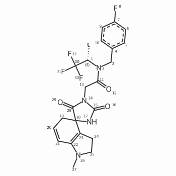 C[C@H](N(Cc1ccc(F)cc1)C(=O)CN1C(=O)NC2(CC=CC3=C2CCN3C)C1=O)C(F)(F)F